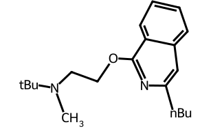 CCCCc1cc2ccccc2c(OCCN(C)C(C)(C)C)n1